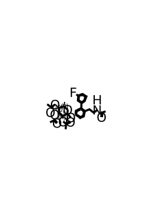 CC(=O)NCCc1ccc(OC2O[C@H](C)[C@H](OC(C)=O)[C@H](OC(C)=O)[C@H]2OC(C)=O)cc1-c1cccc(F)c1